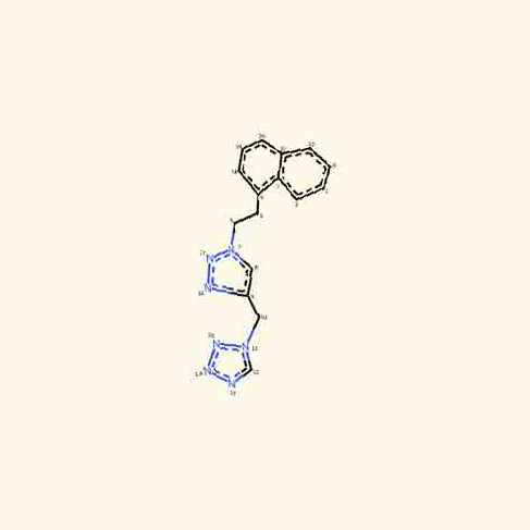 c1ccc2c(CCn3cc(Cn4cnnn4)nn3)cccc2c1